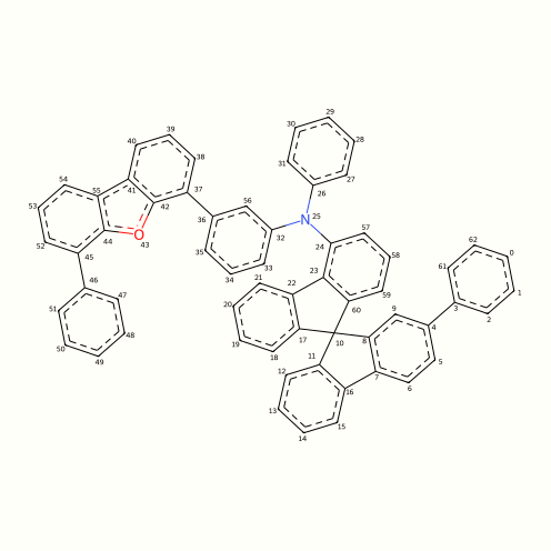 c1ccc(-c2ccc3c(c2)C2(c4ccccc4-3)c3ccccc3-c3c(N(c4ccccc4)c4cccc(-c5cccc6c5oc5c(-c7ccccc7)cccc56)c4)cccc32)cc1